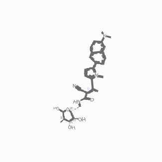 C/C(=C(/C#N)C(=O)NC[C@H]1OC(O)[C@H](C)[C@@H](O)[C@@H]1O)c1ccc(-c2ccc3cc(N(C)C)ccc3c2)n1C